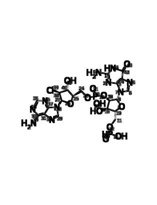 Nc1nc2c(ncn2[C@@H]2O[C@H](CO[PH](=O)O)[C@@H](O)[C@H]2OP(=O)(O)OC[C@H]2O[C@@H](n3cnc4c(N)ncnc43)[C@@H](Cl)[C@@H]2O)c(=O)[nH]1